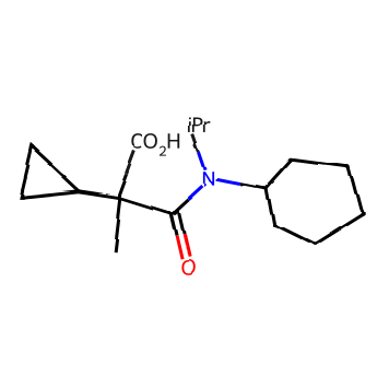 CC(C)N(C(=O)C(C)(C(=O)O)C1CC1)C1CCCCC1